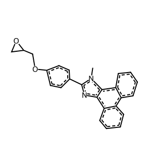 Cn1c(-c2ccc(OCC3CO3)cc2)nc2c3ccccc3c3ccccc3c21